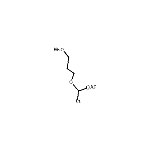 CCC(OCCCOC)OC(C)=O